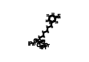 CC(C)O[Si](CCCCCCc1cccc(F)c1)(OC(C)C)OC(C)C